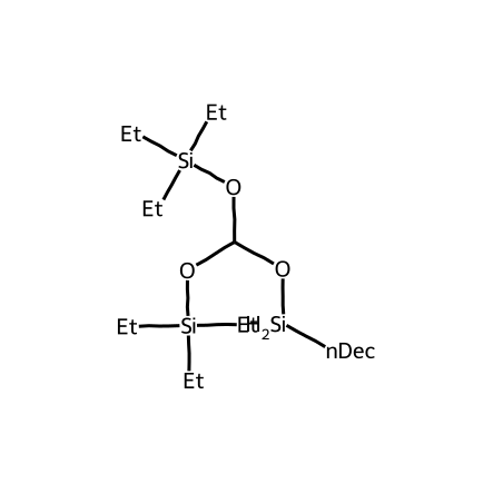 CCCCCCCCCC[SiH2]OC(O[Si](CC)(CC)CC)O[Si](CC)(CC)CC